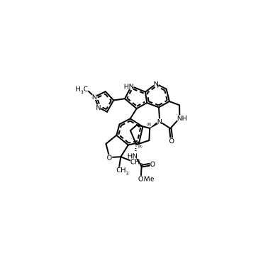 COC(=O)N[C@@H]1CC[C@@H](N2C(=O)NCc3cnc4[nH]c(-c5cnn(C)c5)c(-c5ccc6c(c5)COC6(C)C)c4c32)C1